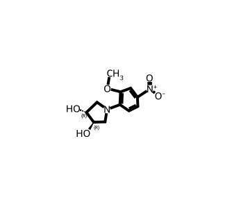 COc1cc([N+](=O)[O-])ccc1N1C[C@@H](O)[C@H](O)C1